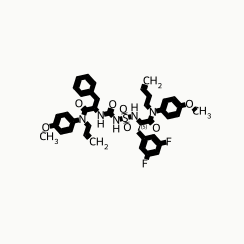 C=CCCN(C(=O)[C@H](Cc1cc(F)cc(F)c1)NS(=O)(=O)NC(=O)NC(Cc1ccccc1)C(=O)N(CC=C)c1ccc(OC)cc1)c1ccc(OC)cc1